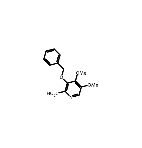 COc1cnc(C(=O)O)c(OCc2ccccc2)c1OC